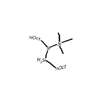 CCCCCCCC[SiH2]N(CCCCCCCC)[Si](C)(C)C